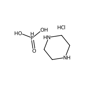 C1CNCCN1.Cl.O=[PH](O)O